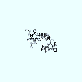 CCCn1c(=O)c2[nH]c(-c3cnn(Cc4cc(C(F)(F)F)cc(Cl)c4F)c3)nc2n(CCC)c1=O